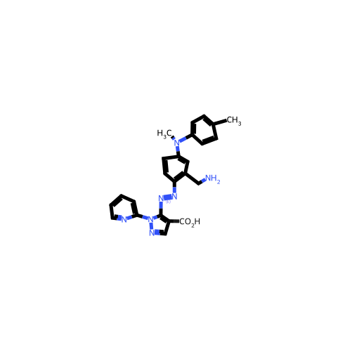 Cc1ccc(N(C)c2ccc(/N=N/c3c(C(=O)O)cnn3-c3ccccn3)c(CN)c2)cc1